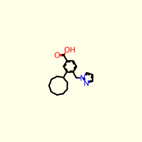 O=C(O)c1ccc(Cn2cccn2)c(C2CCCCCCCC2)c1